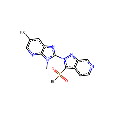 CCS(=O)(=O)c1c2ccncc2nn1-c1nc2cc(C(F)(F)F)cnc2n1C